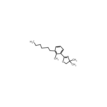 CCCCCCc1cccc(C2=NC(C)(C)CO2)c1C